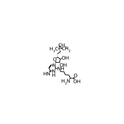 C=P(C)(C)CC[C@H]1O[C@@H](N2C=CC(=N)NC2NCCCCC(N)C(=O)O)[C@H](O)[C@@H]1O